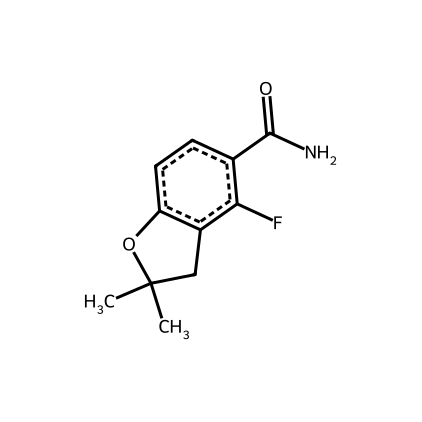 CC1(C)Cc2c(ccc(C(N)=O)c2F)O1